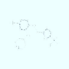 FC(F)(F)c1ccc(COc2ccc(Cl)cc2OC2CCNCC2)o1